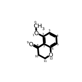 COc1cccc2c1C(=O)CCO2